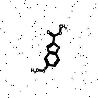 COC(=O)c1cc2cc(SC)ccc2s1